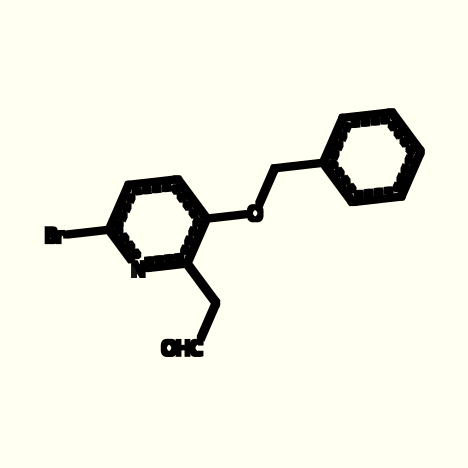 O=CCc1nc(Br)ccc1OCc1ccccc1